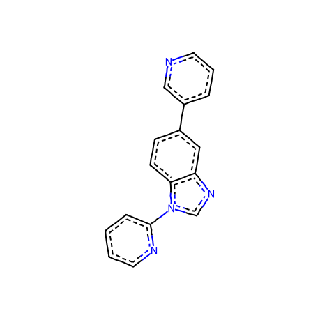 c1ccc(-n2cnc3cc(-c4cccnc4)ccc32)nc1